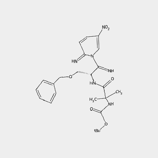 CC(C)(C)OC(=O)NC(C)(C)C(=O)N[C@H](COCc1ccccc1)C(=N)n1cc([N+](=O)[O-])ccc1=N